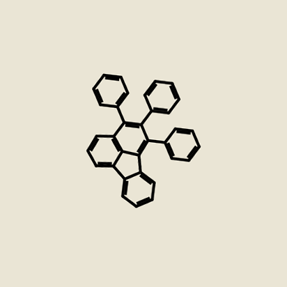 c1ccc(-c2c(-c3ccccc3)c3c4c(cccc4c2-c2ccccc2)-c2ccccc2-3)cc1